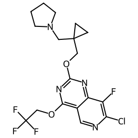 Fc1c(Cl)ncc2c(OCC(F)(F)F)nc(OCC3(CN4CCCC4)CC3)nc12